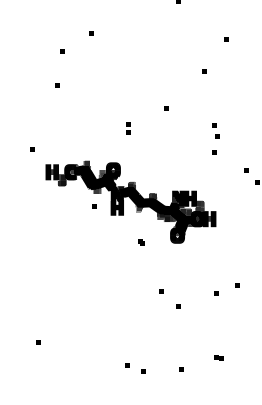 CC=CC(=O)NCCCCC(N)C(=O)O